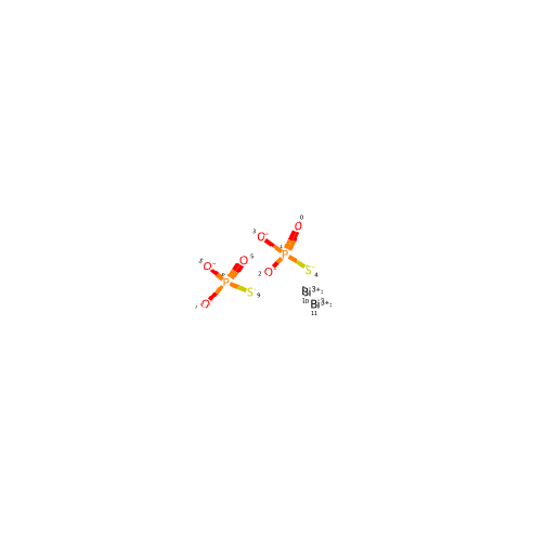 O=P([O-])([O-])[S-].O=P([O-])([O-])[S-].[Bi+3].[Bi+3]